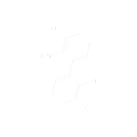 Nc1c(Cl)cccc1-c1cccc(Cl)c1Cl